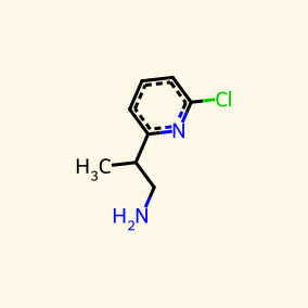 CC(CN)c1cccc(Cl)n1